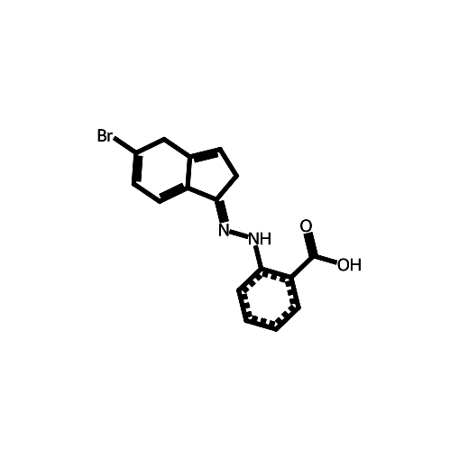 O=C(O)c1ccccc1NN=C1CC=C2CC(Br)=CC=C21